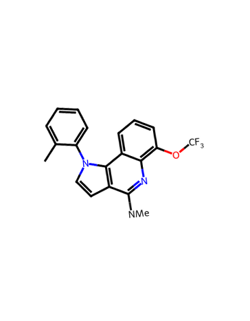 CNc1nc2c(OC(F)(F)F)cccc2c2c1ccn2-c1ccccc1C